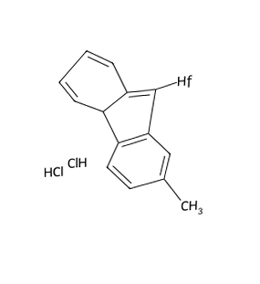 Cc1ccc2c(c1)[C]([Hf])=C1C=CC=CC12.Cl.Cl